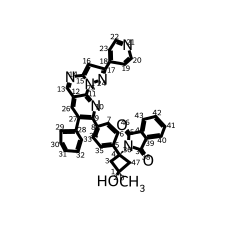 C[C@]1(O)C[C@](c2ccc(-c3nc4c(cnc5cc(-c6ccncc6)nn54)cc3-c3ccccc3)cc2)(N2C(=O)c3ccccc3C2=O)C1